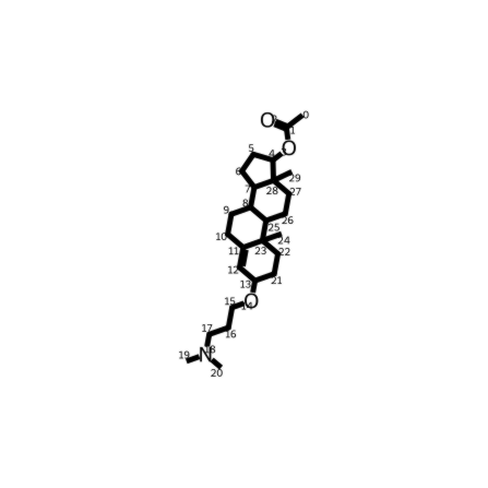 CC(=O)OC1CCC2C3CCC4=CC(OCCCN(C)C)CCC4(C)C3CCC12C